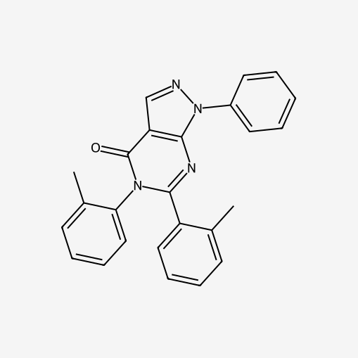 Cc1ccccc1-c1nc2c(cnn2-c2ccccc2)c(=O)n1-c1ccccc1C